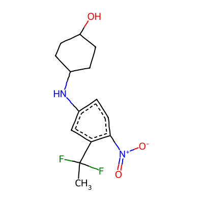 CC(F)(F)c1cc(NC2CCC(O)CC2)ccc1[N+](=O)[O-]